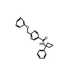 O=C(NC1(c2ccccc2)CCC1)c1ccc(COc2ccccc2)nc1